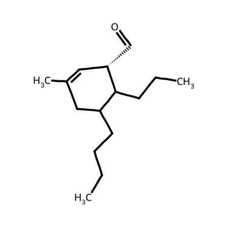 CCCCC1CC(C)=C[C@H](C=O)C1CCC